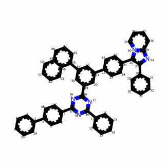 c1ccc(-c2ccc(-c3nc(-c4ccccc4)nc(-c4cc(-c5ccc(-c6c(-c7ccccc7)nc7ccccn67)cc5)cc(-c5cccc6ccccc56)c4)n3)cc2)cc1